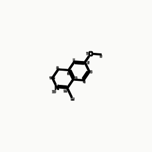 COc1ccc2c(c1)C[C]N=C2C